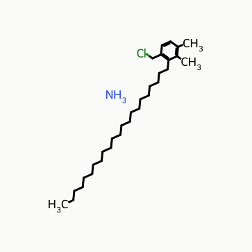 CCCCCCCCCCCCCCCCCCCCCCc1c(CCl)ccc(C)c1C.N